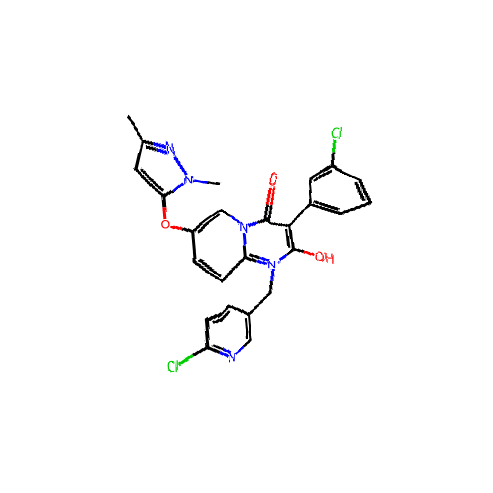 Cc1cc(Oc2ccc3n(c2)c(=O)c(-c2cccc(Cl)c2)c(O)[n+]3Cc2ccc(Cl)nc2)n(C)n1